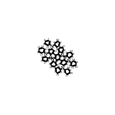 c1ccc(N(c2ccccc2)c2cc3c4c(c2)N(c2ccccc2)c2ccccc2B4n2c4ccccc4c4c5c6c(c-3c42)c2ccccc2n6B2c3ccccc3N(c3ccccc3)c3cc(N(c4ccccc4)c4ccccc4)cc-5c32)cc1